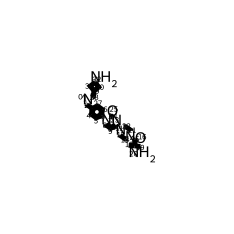 CN(Cc1ccc(-n2ccc(N3CCN(C(=O)C(C)(C)N)CC3)nc2=O)cc1)CC1CC(N)C1